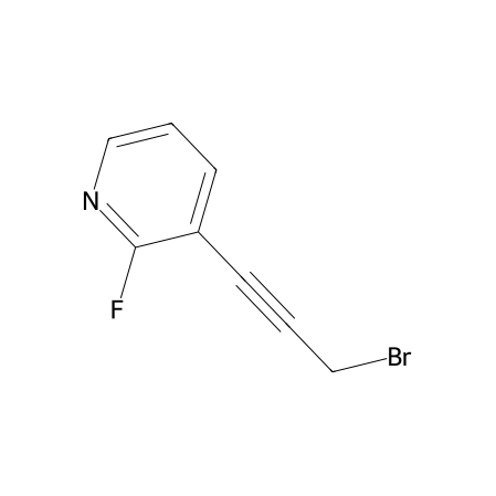 Fc1ncccc1C#CCBr